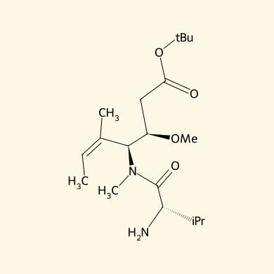 C/C=C(/C)[C@@H]([C@@H](CC(=O)OC(C)(C)C)OC)N(C)C(=O)[C@@H](N)C(C)C